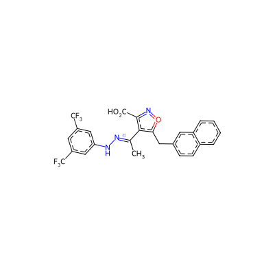 C/C(=N\Nc1cc(C(F)(F)F)cc(C(F)(F)F)c1)c1c(C(=O)O)noc1Cc1ccc2ccccc2c1